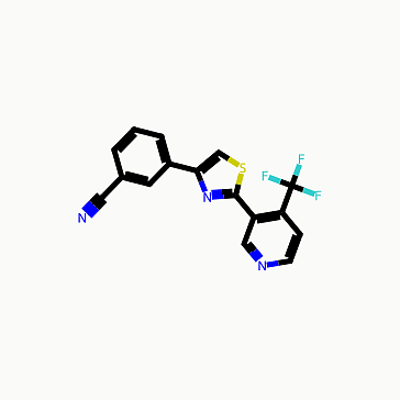 N#Cc1cccc(-c2csc(-c3cnccc3C(F)(F)F)n2)c1